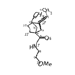 C/C=C1/CC2(C(=O)NCCOC)CCC1(C)C2